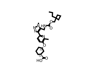 CCCC1(COC(=O)NCc2c(-c3ccc(O[C@H]4CCC[C@H](C(=O)O)C4)c(C)n3)nnn2C)CCC1